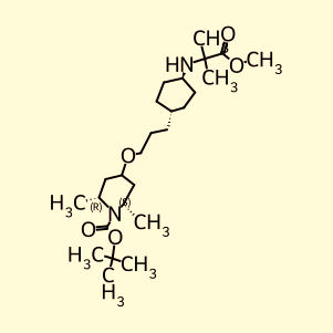 COC(=O)C(C)(C)N[C@H]1CC[C@H](CCCOC2C[C@@H](C)N(C(=O)OC(C)(C)C)[C@@H](C)C2)CC1